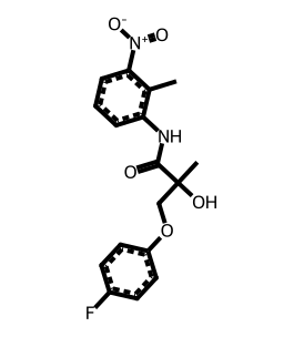 Cc1c(NC(=O)C(C)(O)COc2ccc(F)cc2)cccc1[N+](=O)[O-]